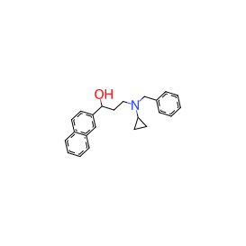 OC(CCN(Cc1ccccc1)C1CC1)c1ccc2ccccc2c1